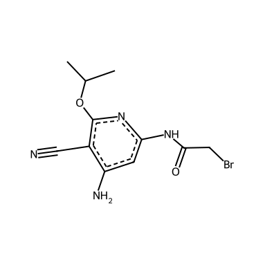 CC(C)Oc1nc(NC(=O)CBr)cc(N)c1C#N